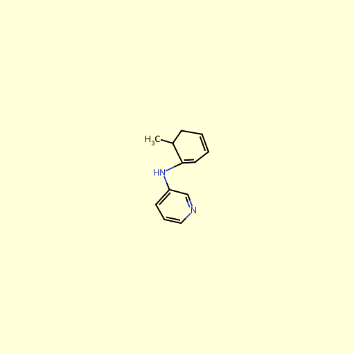 CC1CC=CC=C1Nc1cccnc1